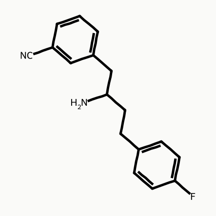 N#Cc1cccc(CC(N)CCc2ccc(F)cc2)c1